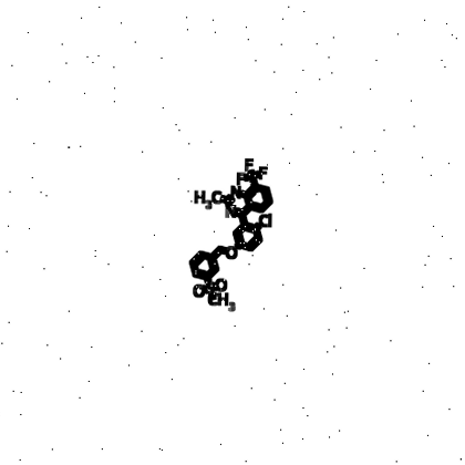 Cc1nc(-c2cc(OCc3cccc(S(C)(=O)=O)c3)ccc2Cl)c2cccc(C(F)(F)F)c2n1